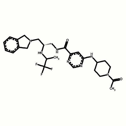 CC(=O)N1CCC(Nc2cc(C(=O)NC[C@@H](CN3Cc4ccccc4C3)NC(C)C(F)(F)F)ncn2)CC1